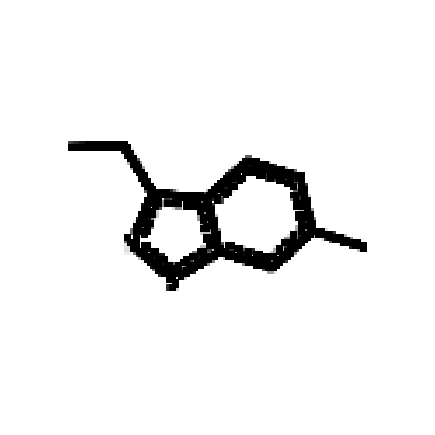 CCc1nsc2cc(C)ccc12